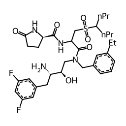 CCCC(CCC)S(=O)(=O)CC(NC(=O)[C@H]1CCC(=O)N1)C(=O)N(Cc1cccc(CC)c1)C[C@@H](O)[C@@H](N)Cc1cc(F)cc(F)c1